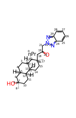 CCC[C@H]1[C@@H]2CC[C@@H]3C[C@](C)(O)CC[C@@H]3[C@H]2CC[C@]1(C)CC(=O)Cn1nc2ccccc2n1